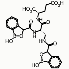 O=C(O)CC[C@H](NC(=O)[C@H](CNC(=O)C1OB(O)c2ccccc21)NC(=O)C1OB(O)c2ccccc21)C(=O)O